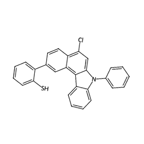 Sc1ccccc1-c1ccc2c(Cl)cc3c(c2c1)c1ccccc1n3-c1ccccc1